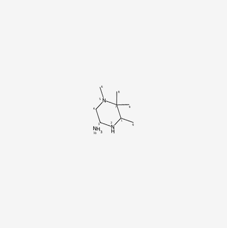 CC1NCCN(C)C1(C)C.N